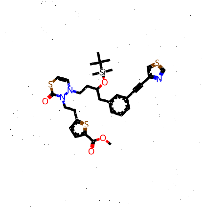 COC(=O)c1ccc(CCN2C(=O)SC=CN2CCC(Cc2cccc(C#Cc3cscn3)c2)O[Si](C)(C)C(C)(C)C)s1